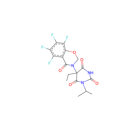 CCC1(N2COc3c(F)c(F)c(F)c(F)c3C2=O)C(=O)NC(=O)N(C(C)C)C1=O